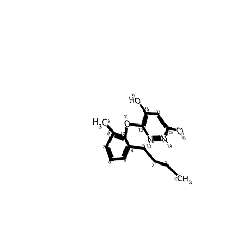 CCCCc1cccc(C)c1Oc1nnc(Cl)cc1O